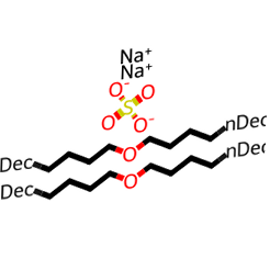 CCCCCCCCCCCCCCOCCCCCCCCCCCCCC.CCCCCCCCCCCCCCOCCCCCCCCCCCCCC.O=S(=O)([O-])[O-].[Na+].[Na+]